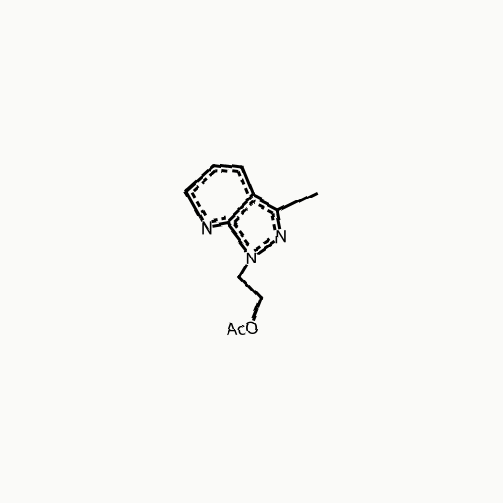 CC(=O)OCCn1nc(C)c2cccnc21